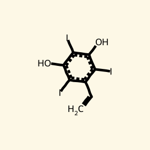 C=Cc1c(I)c(O)c(I)c(O)c1I